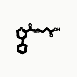 O=C(O)CCCNC(=O)c1cc(-c2ccccc2)ccn1